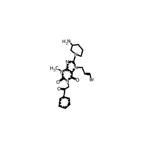 Cn1c(=O)n(CC(=O)c2ccccc2)c(=O)c2c1nc(N1CCCC(N)C1)n2CC=CBr